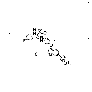 Cl.Cn1ccc(-c2ccc3c(Oc4ccc(NC(=O)C5(C(=O)Nc6ccc(F)cc6)CC5)cc4)ccnc3c2)n1